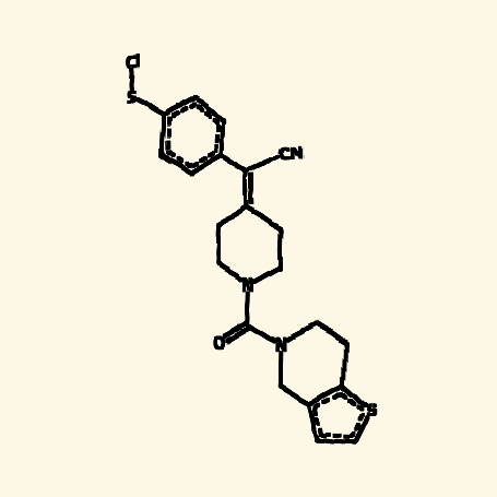 N#CC(=C1CCN(C(=O)N2CCc3sccc3C2)CC1)c1ccc(SCl)cc1